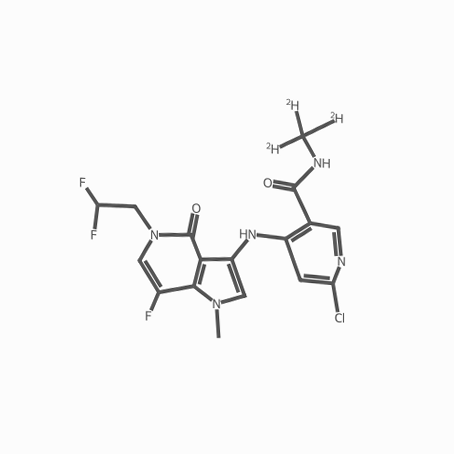 [2H]C([2H])([2H])NC(=O)c1cnc(Cl)cc1Nc1cn(C)c2c(F)cn(CC(F)F)c(=O)c12